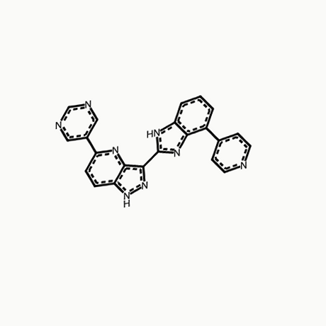 c1cc(-c2ccncc2)c2nc(-c3n[nH]c4ccc(-c5cncnc5)nc34)[nH]c2c1